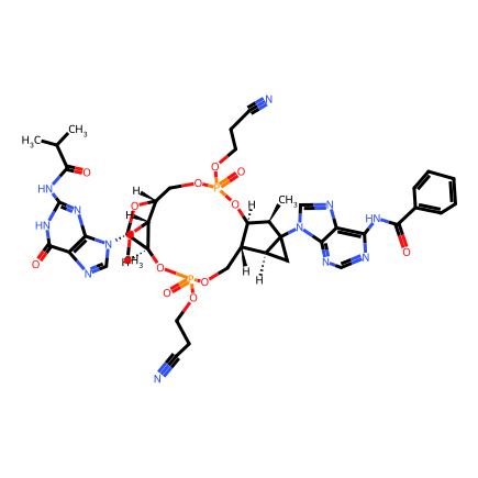 CO[C@H]1[C@H]2OP(=O)(OCCC#N)OC[C@@H]3[C@@H](OP(=O)(OCCC#N)OC[C@H]1O[C@H]2n1cnc2c(=O)[nH]c(NC(=O)C(C)C)nc21)[C@@H](C)C1(n2cnc4c(NC(=O)c5ccccc5)ncnc42)C[C@@H]31